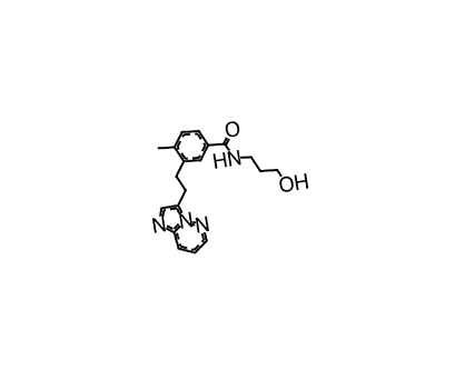 Cc1ccc(C(=O)NCCCO)cc1CCc1cnc2cccnn12